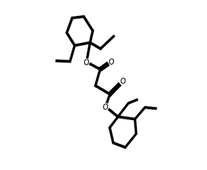 CCC1CCCCC1(CC)OC(=O)CC(=O)OC1(CC)CCCCC1CC